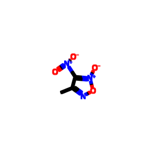 Cc1no[n+]([O-])c1[N+](=O)[O-]